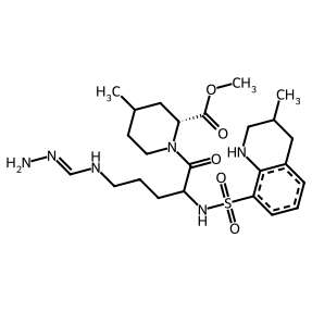 COC(=O)[C@H]1CC(C)CCN1C(=O)C(CCCNC=NN)NS(=O)(=O)c1cccc2c1NCC(C)C2